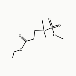 CCOC(=O)CC[Si](C)(C)S(=O)(=O)OC